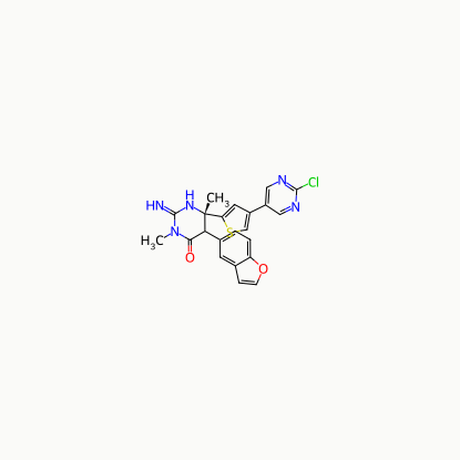 CN1C(=N)N[C@](C)(c2cc(-c3cnc(Cl)nc3)cs2)C(c2ccc3occc3c2)C1=O